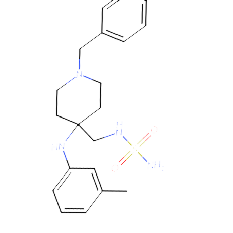 Cc1cccc(NC2(CNS(N)(=O)=O)CCN(Cc3ccccc3)CC2)c1